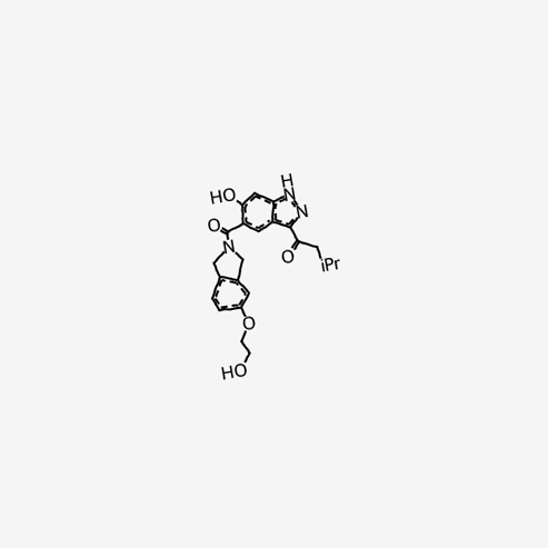 CC(C)CC(=O)c1n[nH]c2cc(O)c(C(=O)N3Cc4ccc(OCCO)cc4C3)cc12